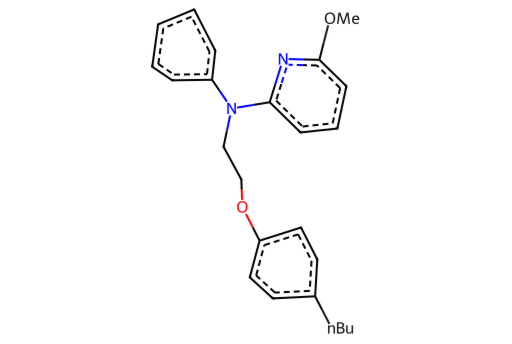 CCCCc1ccc(OCCN(c2ccccc2)c2cccc(OC)n2)cc1